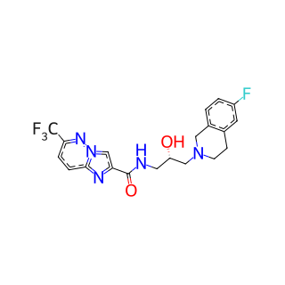 O=C(NC[C@H](O)CN1CCc2cc(F)ccc2C1)c1cn2nc(C(F)(F)F)ccc2n1